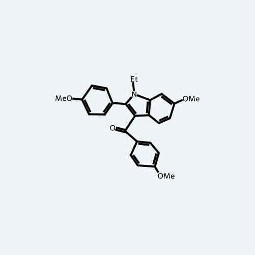 CCn1c(-c2ccc(OC)cc2)c(C(=O)c2ccc(OC)cc2)c2ccc(OC)cc21